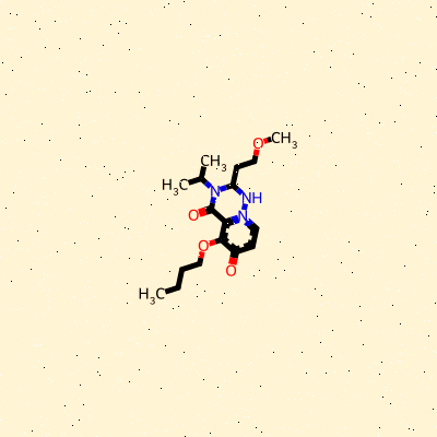 CCCCOc1c2n(ccc1=O)NC(CCOC)N(C(C)C)C2=O